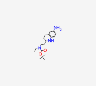 CCN(CCC1CCc2cc(N)ccc2N1)C(=O)OC(C)(C)C